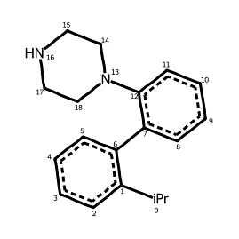 CC(C)c1ccccc1-c1ccccc1N1CCNCC1